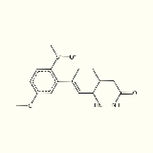 COc1ccc([S+](C)[O-])c(/C(C)=C/C2NNC(=O)CC2C)c1